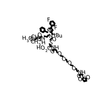 CC(C)(C)[C@H](c1cc(-c2cc(F)ccc2F)cn1Cc1ccccc1)N(CCCNC(=O)OCC[Si](C)(C)C)C(=O)CSC[C@H](NC(=O)CCOCCOCCOCCOCCNC(=O)CN1C(=O)C=CC1=O)C(=O)O